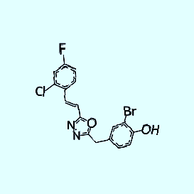 Oc1ccc(Cc2nnc(/C=C/c3ccc(F)cc3Cl)o2)cc1Br